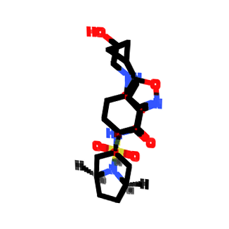 O=C(N[C@H]1C[C@H]2CC[C@@H](C1)N2S(=O)(=O)[C@H]1CC[C@H](NCCO)CC1)c1cc(C2CC2)on1